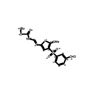 CSc1sc(/N=C/NC(=O)OC(C)(C)C)cc1S(=O)(=O)c1cccc(C=O)c1